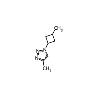 Cc1cn(C2CC(C)C2)nn1